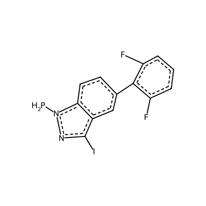 Fc1cccc(F)c1-c1ccc2c(c1)c(I)nn2P